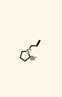 C=CC[S+]1CCCC1.[Br-]